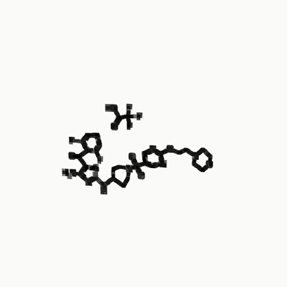 Nc1nc(NC2CCN(S(=O)(=O)c3cnc(OCCN4CCOCC4)nc3)CC2)sc1C(=O)c1c(F)cccc1F.O=C(O)C(F)(F)F